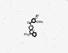 COc1cc(C(=O)N2CCC3(CC2)C[C@H](OC(C)C)c2ccccc2O3)ccc1OC(C)C